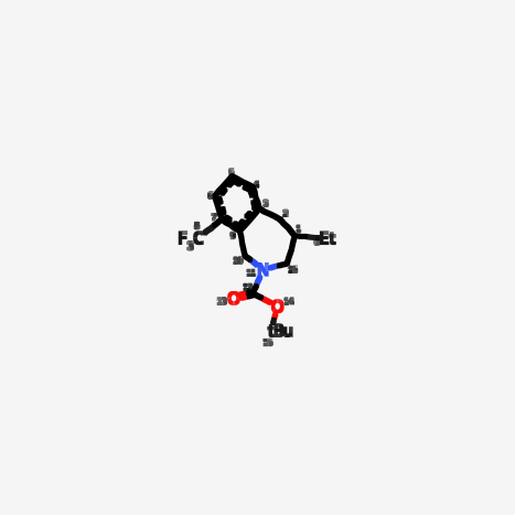 CCC1Cc2cccc(C(F)(F)F)c2CN(C(=O)OC(C)(C)C)C1